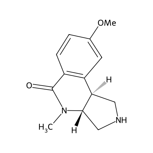 COc1ccc2c(c1)[C@H]1CNC[C@@H]1N(C)C2=O